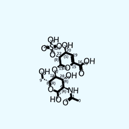 CC(=O)N[C@H]1C(O)O[C@H](CO)[C@@H](O[C@@H]2OC(C(=O)O)=C[C@H](O)[C@H]2OS(=O)(=O)O)[C@@H]1O